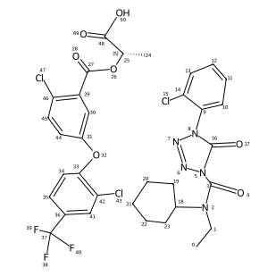 CCN(C(=O)n1nnn(-c2ccccc2Cl)c1=O)C1CCCCC1.C[C@H](OC(=O)c1cc(Oc2ccc(C(F)(F)F)cc2Cl)ccc1Cl)C(=O)O